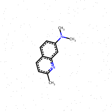 Cc1ccc2ccc(N(C)C)cc2n1